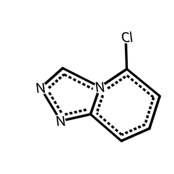 Clc1cccc2nncn12